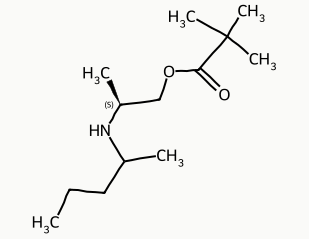 CCCC(C)N[C@@H](C)COC(=O)C(C)(C)C